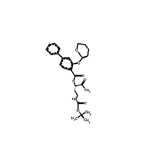 CC(=O)[C@H](CCNC(=O)OC(C)(C)C)OC(=O)c1ccc(-c2ccccc2)cc1OC1CCCCO1